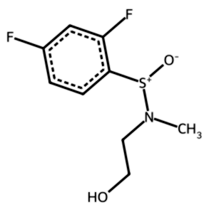 CN(CCO)[S+]([O-])c1ccc(F)cc1F